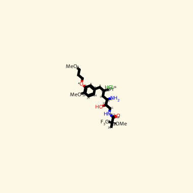 COCCCOc1cc(CC(CC(N)C(O)CNC(=O)[C@@](C)(OC)C(F)(F)F)C(C)C)ccc1OC.Cl